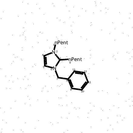 CCCCCC1N(CCCCC)C=CN1Cc1ccccc1